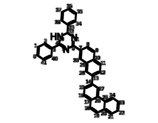 c1ccc(C2=NC(c3ccc4ccc(-c5ccc6ccc7ccccc7c6c5)cc4c3)=NC(c3ccccc3)N2)cc1